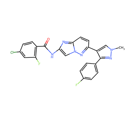 Cn1cc(-c2ccc3nc(NC(=O)c4ccc(Cl)cc4F)cn3n2)c(-c2ccc(F)cc2)n1